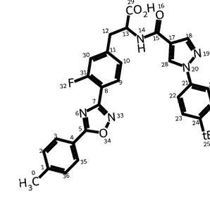 Cc1ccc(-c2nc(-c3ccc(CC(NC(=O)c4cnn(-c5ccc(C(C)(C)C)cc5)c4)C(=O)O)cc3F)no2)cc1